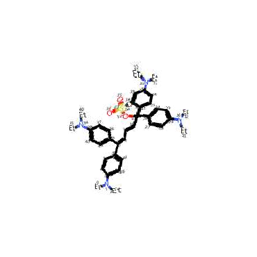 CCN(CC)c1ccc(C(=CC=CC(OS(=O)(=O)C(F)(F)F)(c2ccc(N(CC)CC)cc2)c2ccc(N(CC)CC)cc2)c2ccc(N(CC)CC)cc2)cc1